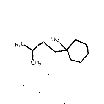 CC(C)CCC1(O)CCCCC1